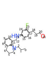 CCCN1CCCc2cccc(CNc3ccc(CCC=O)c(F)c3)c21